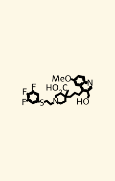 COc1ccc2ncc(CO)c(CCCC3(CC(=O)O)CCN(CCSc4cc(F)c(F)c(F)c4)CC3)c2c1